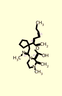 C=C/C(=C\C=C/CC)C1(C/C(=N/C)N2CCN(C)C(=C)/C2=C(\O)C=O)CCCC1